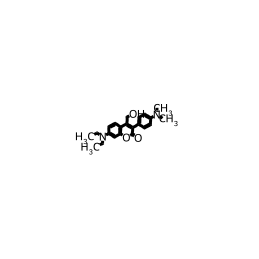 CCN(CC)c1ccc2c(CO)c(-c3ccc(N(C)C)cc3)c(=O)oc2c1